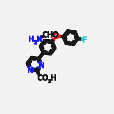 NC=O.O=C(O)c1nccc(-c2ccc(Oc3ccc(F)cc3)cc2)n1